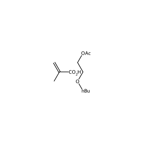 C=C(C)C(=O)O.CCCCOCCOC(C)=O